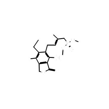 CCc1c(C)c2c(c(O)c1C/C=C(\C)CP(=O)(OC)OC)C(=O)OC2